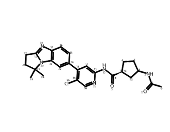 CC(=O)NC1CC[C@H](C(=O)Nc2cc(-c3ccc4nc5n(c4c3)C(C)(C)CC5)c(Cl)cn2)C1